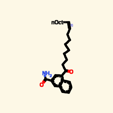 CCCCCCCC/C=C\CCCCCCCC(=O)c1cc(C(N)=O)cc2ccccc12